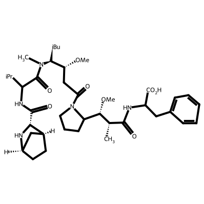 CC[C@H](C)[C@@H]([C@@H](CC(=O)N1CCCC1[C@H](OC)[C@@H](C)C(=O)NC(Cc1ccccc1)C(=O)O)OC)N(C)C(=O)C(NC(=O)[C@H]1N[C@@H]2CC[C@H]1C2)C(C)C